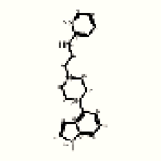 c1ccc(NCCN2CCN(c3cccc4[nH]ccc34)CC2)nc1